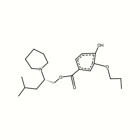 CCCOc1cc(C(=O)OC[C@H](CC(C)C)N2CCCCC2)ccc1O